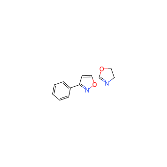 C1=NCCO1.c1ccc(-c2ccon2)cc1